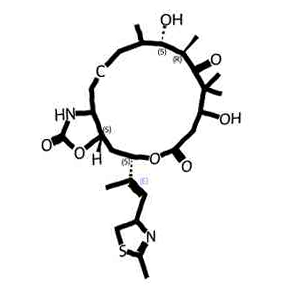 CC1=NC(/C=C(\C)[C@@H]2C[C@@H]3OC(=O)NC3CCCC(C)[C@H](O)[C@@H](C)C(=O)C(C)(C)C(O)CC(=O)O2)CS1